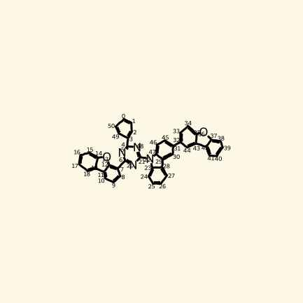 c1ccc(-c2nc(-c3cccc4c3oc3ccccc34)nc(-n3c4ccccc4c4cc(-c5ccc6oc7ccccc7c6c5)ccc43)n2)cc1